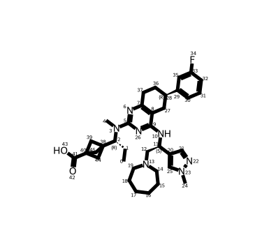 CC[C@@H](N(C)c1nc2c(c(N[C@H](CN3CCCCCC3)c3cnn(C)c3)n1)C[C@H](c1cccc(F)c1)CC2)C12CC(C(=O)O)(C1)C2